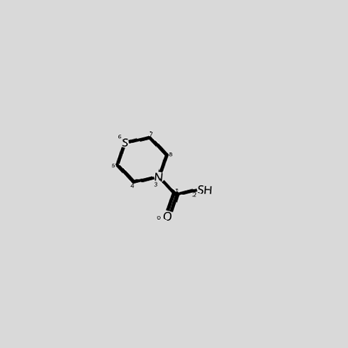 O=C(S)N1CCSCC1